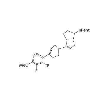 CCCCCC1CCC2C(C3CC=C(c4ccc(OC)c(F)c4F)CC3)=CCC12